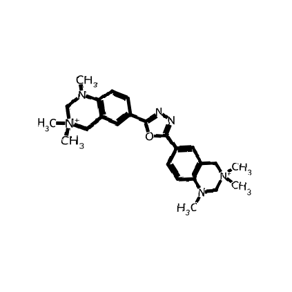 CN1C[N+](C)(C)Cc2cc(-c3nnc(-c4ccc5c(c4)C[N+](C)(C)CN5C)o3)ccc21